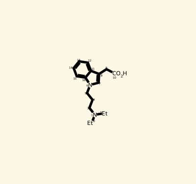 CCN(CC)CCCn1cc(CC(=O)O)c2ccccc21